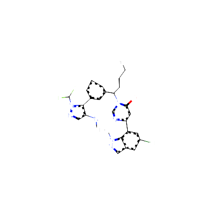 CC(C)CCCC(c1cccc(-c2c(NC=O)cnn2C(F)F)c1)n1cnc(-c2cc(Cl)cc3cnn(C)c23)cc1=O